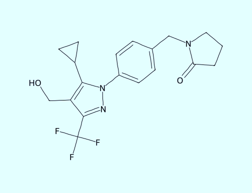 O=C1CCCN1Cc1ccc(-n2nc(C(F)(F)F)c(CO)c2C2CC2)cc1